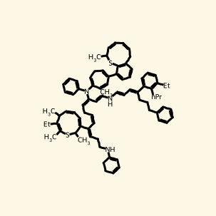 CCCc1c(CC)cccc1/C(=C/C=C/N/C(C)=C/C(=C\C\C=C/C(=C\CCNC1=CC=CCC1)C1=C/C=C\C(C)/C(CC)=C(/C)SC\1C)N(C1=CCC=C(c2cccc3c2SC(C)/C=C\C=C/C3)C=C1)c1ccccc1)CCCc1ccccc1